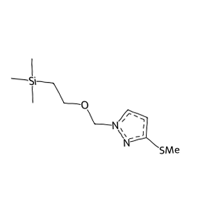 CSc1ccn(COCC[Si](C)(C)C)n1